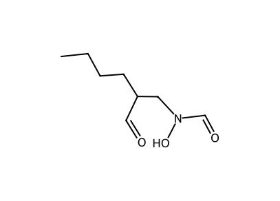 CCCCC(C=O)CN(O)C=O